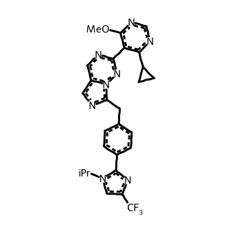 COc1ncnc(C2CC2)c1-c1ncc2cnc(Cc3ccc(-c4nc(C(F)(F)F)cn4C(C)C)cc3)n2n1